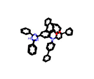 c1ccc(C2=NC(c3cc(N(c4ccc(-c5ccccc5)cc4)c4ccc(-c5ccccc5)cc4)c4c5ccccc5c5ccccc5c4c3)=NC(c3ccccc3)N2)cc1